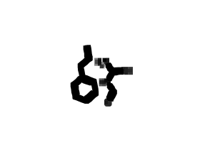 C=CCc1ccccc1.N=C(N)NC=O